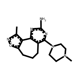 Cc1noc2c1-c1nc(N)nc(N3CCN(C)CC3)c1CCC2